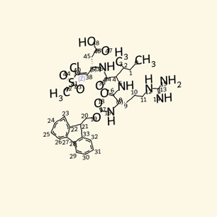 CCC(C)C(NC(=O)[C@H](CCCNC(=N)N)NC(=O)OCC1c2ccccc2-c2ccccc21)C(=O)N[C@H](/C=C(\Cl)S(C)(=O)=O)CC(=O)O